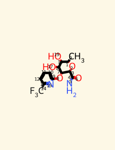 CC1OC(C(N)=O)C(Oc2cccc(C(F)(F)F)n2)C(O)C1O